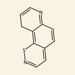 C1=CN=c2ccc3c(c2C1)SN=CC=3